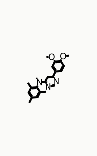 COc1ccc(-c2cc(N(C)c3c(C)cc(C)cc3C)ncn2)cc1OC